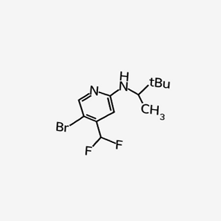 CC(Nc1cc(C(F)F)c(Br)cn1)C(C)(C)C